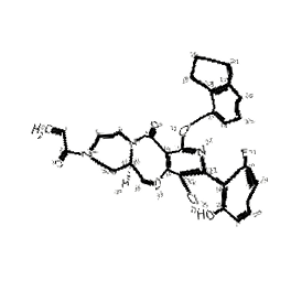 C=CC(=O)N1CCN2C(=O)c3c(Oc4cccc5c4CCC5)nc(-c4c(O)cccc4F)c(Cl)c3OC[C@H]2C1